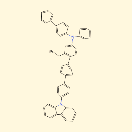 CC(C)Cc1cc(N(c2ccccc2)c2ccc(-c3ccccc3)cc2)ccc1-c1ccc(-c2ccc(-n3c4ccccc4c4ccccc43)cc2)cc1